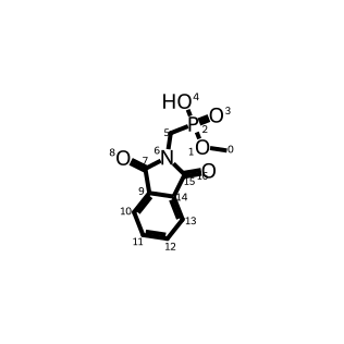 COP(=O)(O)CN1C(=O)c2ccccc2C1=O